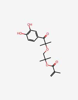 C=C(C)C(=O)OC(C)(C)COC(C)(C)C(=O)c1ccc(O)c(O)c1